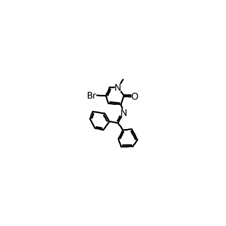 Cn1cc(Br)cc(N=C(c2ccccc2)c2ccccc2)c1=O